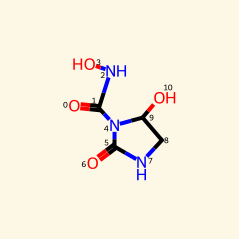 O=C(NO)N1C(=O)NCC1O